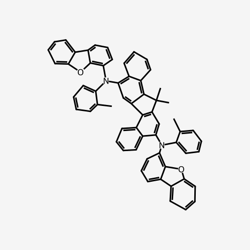 Cc1ccccc1N(c1cc2c(c3ccccc13)-c1cc(N(c3ccccc3C)c3cccc4c3oc3ccccc34)c3ccccc3c1C2(C)C)c1cccc2c1oc1ccccc12